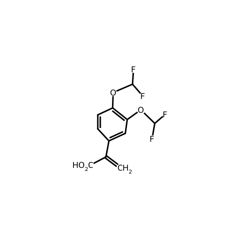 C=C(C(=O)O)c1ccc(OC(F)F)c(OC(F)F)c1